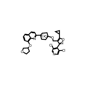 Clc1cncc(Cl)c1-c1noc(C2CC2)c1COC12CCC(c3ccc4cccc(OC5CCOC5)c4n3)(CC1)CC2